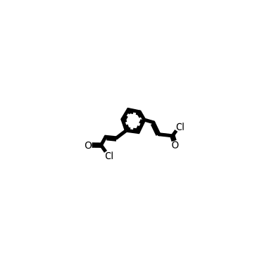 O=C(Cl)C=Cc1cccc(C=CC(=O)Cl)c1